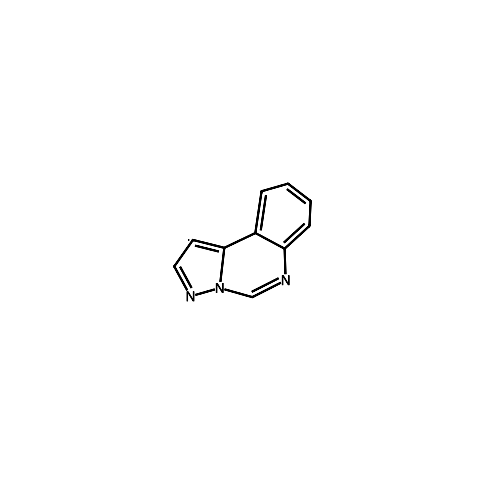 [c]1cnn2cnc3ccccc3c12